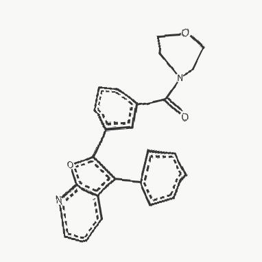 O=C(c1cccc(-c2oc3ncccc3c2-c2ccccc2)c1)N1CCOCC1